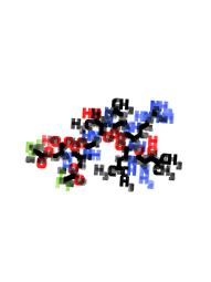 CC(C)C[C@H](NC(=O)[C@@H](N)[C@H](O)C(C)C)C(=O)N[C@H](CCCNC(=N)N)C(=O)N[C@@H](CC(C)C)C(=O)N[C@H](C(=O)NCC(=O)N[C@@H](COC(=O)C(F)(F)F)C(=O)N[C@@H](COC(=O)C(F)(F)F)C(=O)O)[C@H](C)O